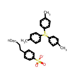 CCCCCCCCCCCCc1ccc(S(=O)(=O)[O-])cc1.Cc1ccc([S+](c2ccc(C)cc2)c2ccc(C)cc2)cc1